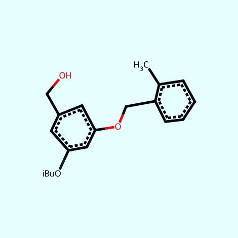 Cc1ccccc1COc1cc(CO)cc(OCC(C)C)c1